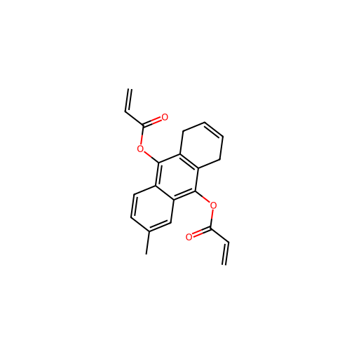 C=CC(=O)Oc1c2c(c(OC(=O)C=C)c3cc(C)ccc13)CC=CC2